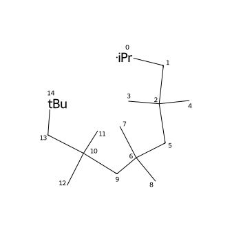 C[C](C)CC(C)(C)CC(C)(C)CC(C)(C)CC(C)(C)C